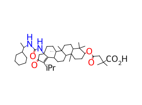 CC(C)C1=C2C3CCC4C5(C)CC[C@H](OC(=O)CC(C)(C)C(=O)O)C(C)(C)C5CCC4(C)[C@]3(C)CC[C@@]2(NC(=O)NC(C)C2CCCCC2)CC1=O